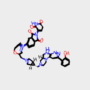 O=C1CCC(N2C(=O)c3ccc(N4CCOC(CN5C[C@@H]6[C@H](C5)[C@H]6CN5CCN6c7cc(-c8ccccc8O)nnc7NC[C@H]6C5)C4)cc3C2=O)C(=O)N1